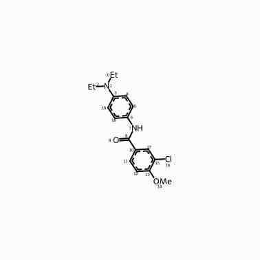 CCN(CC)c1ccc(NC(=O)c2ccc(OC)c(Cl)c2)cc1